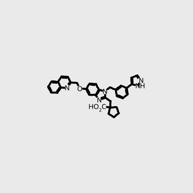 O=C(O)C1(Cc2nc3cc(OCc4ccc5ccccc5n4)ccc3n2Cc2cccc(-c3ccn[nH]3)c2)CCCC1